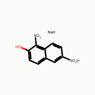 O=[N+]([O-])c1c(O)ccc2cc(S(=O)(=O)O)ccc12.[NaH]